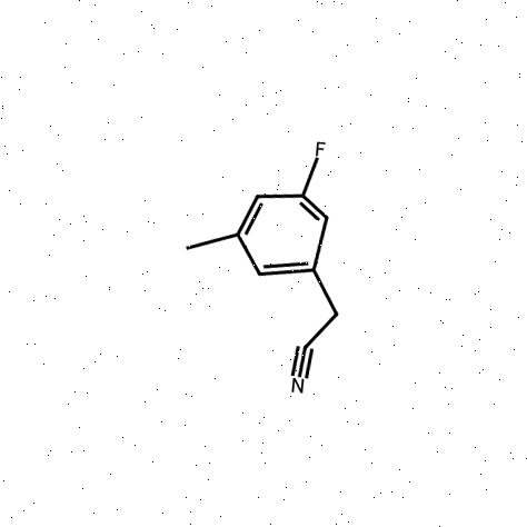 Cc1cc(F)cc(CC#N)c1